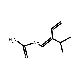 C=C/C(=C\NC(N)=O)C(C)C